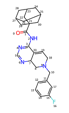 O=C(NC1=NC=NC2CN(Cc3cccc(F)c3)CC=C12)C12CC3CC(CC(C3)C1)C2